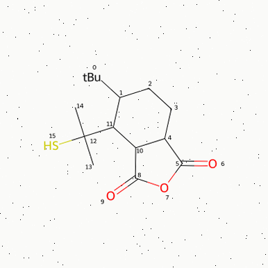 CC(C)(C)C1CCC2C(=O)OC(=O)C2C1C(C)(C)S